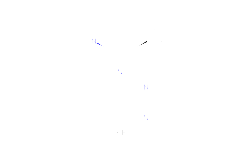 N[C@H]1C[C@@H](C2CC2)CN(c2ccc(C(F)(F)F)c3nccnc23)C1